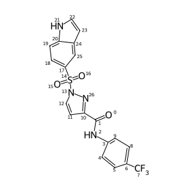 O=C(Nc1ccc(C(F)(F)F)cc1)c1ccn(S(=O)(=O)c2ccc3[nH]ccc3c2)n1